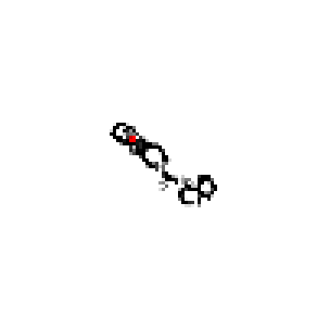 CCN1CC2CCC(C1)N2c1nc2c(s1)CN(C(=O)N[C@H]1CCOc3ccccc31)CC2